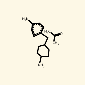 CC(C)=O.Nc1ccc(CC2CCC(N)CC2)cc1